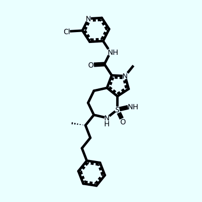 C[C@@H](CCc1ccccc1)C1CCc2c(cn(C)c2C(=O)Nc2ccnc(Cl)c2)S(=N)(=O)N1